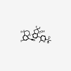 Cc1nc(S(C)(=O)=O)ccc1-c1ccc([C@H]2CC[C@H](F)c3cc(F)cc(C#N)c32)c2c1[C@H](O)C(F)(F)C2